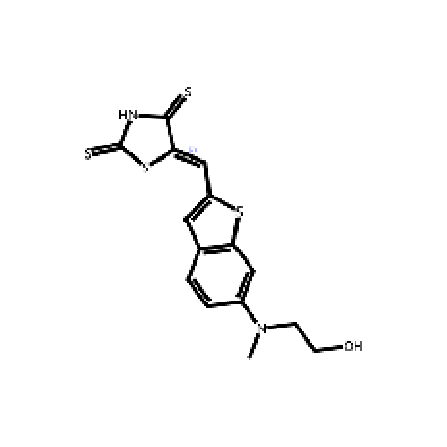 CN(CCO)c1ccc2cc(/C=C3\SC(=S)NC3=S)sc2c1